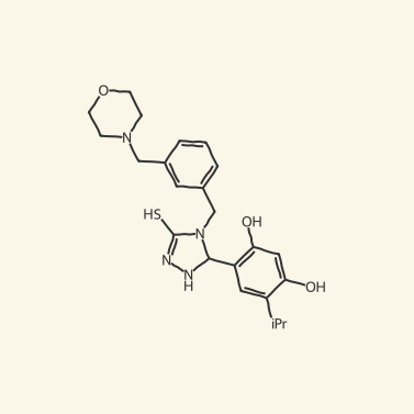 CC(C)c1cc(C2NN=C(S)N2Cc2cccc(CN3CCOCC3)c2)c(O)cc1O